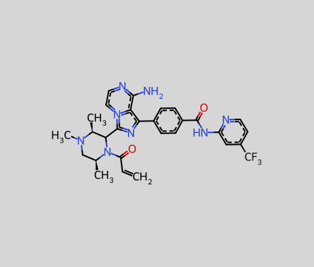 C=CC(=O)N1C(c2nc(-c3ccc(C(=O)Nc4cc(C(F)(F)F)ccn4)cc3)c3c(N)nccn23)[C@H](C)N(C)C[C@@H]1C